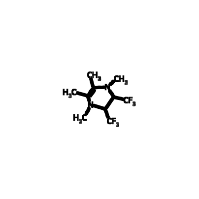 CC1=C(C)N(C)C(C(F)(F)F)C(C(F)(F)F)N1C